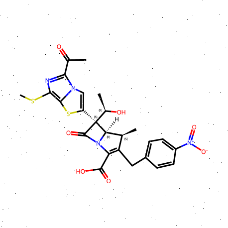 CSc1nc(C(C)=O)n2cc([C@@]3([C@@H](C)O)C(=O)N4C(C(=O)O)=C(Cc5ccc([N+](=O)[O-])cc5)[C@H](C)[C@@H]43)sc12